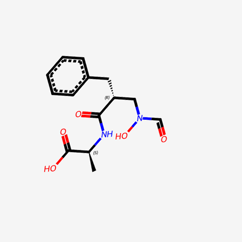 C[C@H](NC(=O)[C@H](Cc1ccccc1)CN(O)C=O)C(=O)O